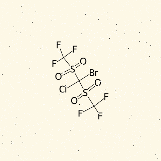 O=S(=O)(C(F)(F)F)C(Cl)(Br)S(=O)(=O)C(F)(F)F